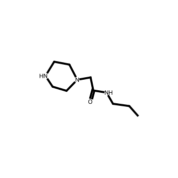 CCCNC(=O)CN1CCNCC1